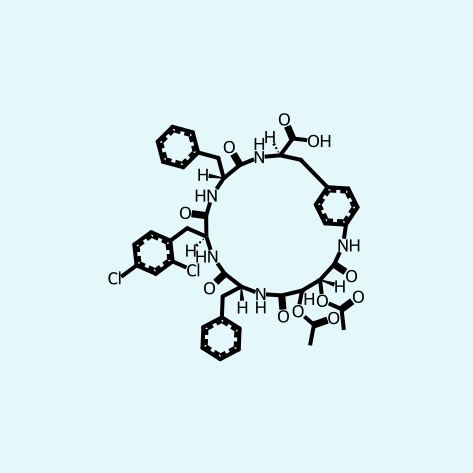 CC(=O)O[C@H]1C(=O)Nc2ccc(cc2)C[C@H](C(=O)O)NC(=O)[C@@H](Cc2ccccc2)NC(=O)[C@H](Cc2ccc(Cl)cc2Cl)NC(=O)[C@@H](Cc2ccccc2)NC(=O)[C@@H]1OC(C)=O